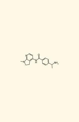 CC(N)c1ccc(C(=O)Nc2ccnc3c2CCN3C)cc1